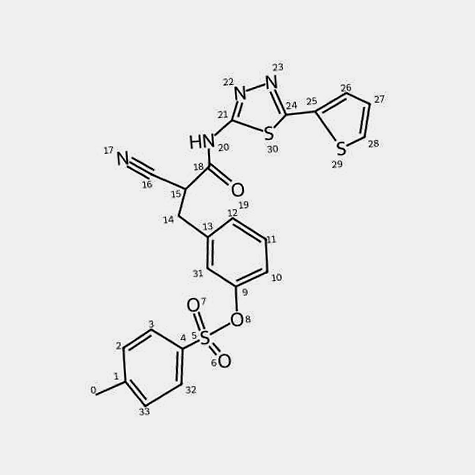 Cc1ccc(S(=O)(=O)Oc2cccc(CC(C#N)C(=O)Nc3nnc(-c4cccs4)s3)c2)cc1